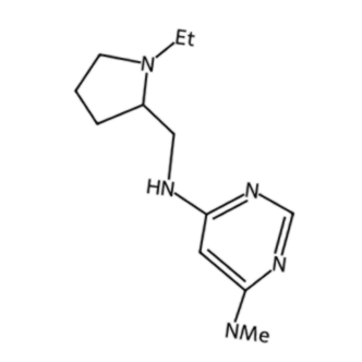 CCN1CCCC1CNc1cc(NC)ncn1